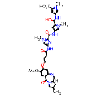 C=C1C[C@H]2C=Nc3cc(OCCCC(=O)Nc4cn(C)c(C(=O)Nc5cc(C(O)Nc6cc(C(=O)O)n(C)c6)n(C)c5)n4)c(OC)cc3C(=O)N2C1